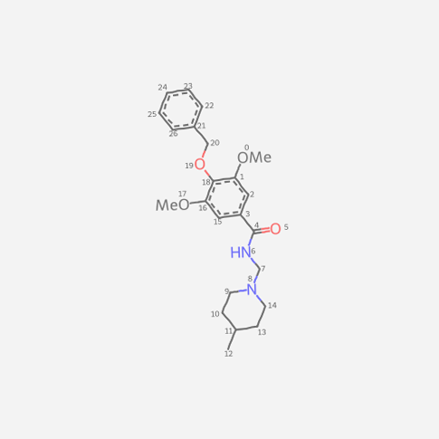 COc1cc(C(=O)NCN2CCC(C)CC2)cc(OC)c1OCc1ccccc1